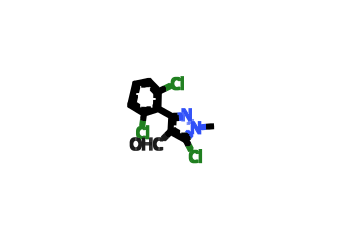 Cn1nc(-c2c(Cl)cccc2Cl)c(C=O)c1Cl